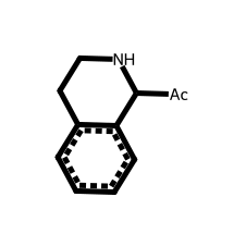 [CH2]C(=O)C1NCCc2ccccc21